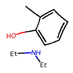 CCNCC.Cc1ccccc1O